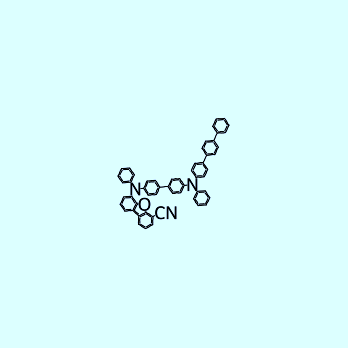 N#Cc1cccc2c1oc1c(N(c3ccccc3)c3ccc(-c4ccc(N(c5ccccc5)c5ccc(-c6ccc(-c7ccccc7)cc6)cc5)cc4)cc3)cccc12